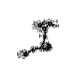 C[C@H](NC(=O)CN(CC(=O)NCCCC(=O)NCCO[C@@H]1O[C@@H](C)[C@@H](O)[C@@H](O)[C@@H]1O)CC(=O)NCCCC(=O)NCCO[C@H]1O[C@H](CO[C@H]2O[C@H](CO)[C@@H](O)[C@H](O)[C@@H]2O)[C@@H](O)[C@H](O[C@H]2O[C@H](CO)[C@@H](O)[C@H](O)[C@@H]2O)[C@@H]1O)C(=O)ON1C(=O)CCC1=O